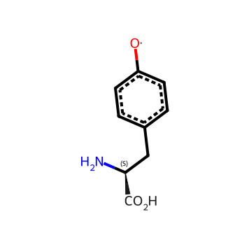 N[C@@H](Cc1ccc([O])cc1)C(=O)O